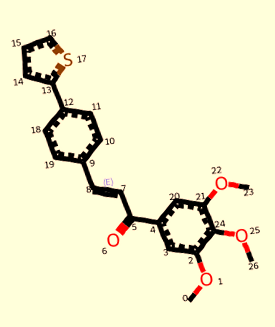 COc1cc(C(=O)/C=C/c2ccc(-c3cccs3)cc2)cc(OC)c1OC